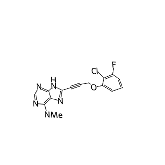 CNc1ncnc2[nH]c(C#CCOc3cccc(F)c3Cl)nc12